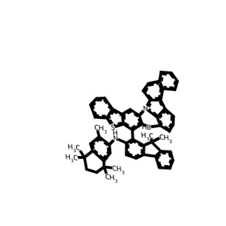 Cc1cc2c(cc1Nc1ccc3c(c1-c1c4c(cc5c1sc1ccccc15)-n1c5ccc6ccccc6c5c5cccc(c51)B4)C(C)(C)c1ccccc1-3)C(C)(C)CCC2(C)C